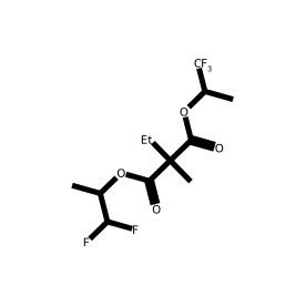 CCC(C)(C(=O)OC(C)C(F)F)C(=O)OC(C)C(F)(F)F